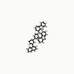 c1cc(-c2ccc(N(c3cccc4c3oc3ccccc34)c3cccc4sc5ccccc5c34)cc2)cc(-c2cccc3ccccc23)c1